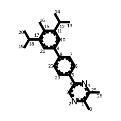 Cc1ncc(-c2ccc(-c3cc(C(C)C)c(C)c(C(C)C)c3)cc2)nc1C